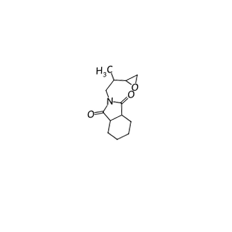 CC(CN1C(=O)C2CCCCC2C1=O)C1CO1